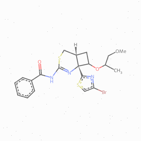 COCC(C)OC1C[C@H]2CSC(NC(=O)c3ccccc3)=N[C@@]12c1nc(Br)cs1